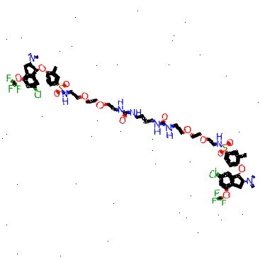 Cc1cc(S(=O)(=O)NCCOCCOCCNC(=O)NCCCCNC(=O)NCCOCCOCCNS(=O)(=O)c2ccc(O[C@H]3c4cc(Cl)cc(OC(F)(F)F)c4C[C@@H]3N(C)C)c(C)c2)ccc1O[C@H]1c2cc(Cl)cc(OC(F)(F)F)c2C[C@@H]1N(C)C